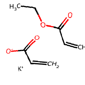 C=CC(=O)OCC.C=CC(=O)[O-].[K+]